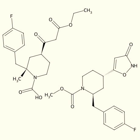 CCOC(=O)CC(=O)[C@H]1CCN(C(=O)O)[C@](C)(Cc2ccc(F)cc2)C1.COC(=O)N1CC[C@H](c2cc(=O)[nH]o2)C[C@H]1Cc1ccc(F)cc1